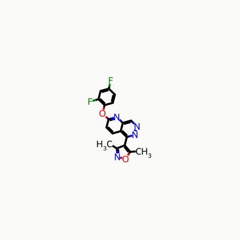 Cc1noc(C)c1-c1nncc2nc(Oc3ccc(F)cc3F)ccc12